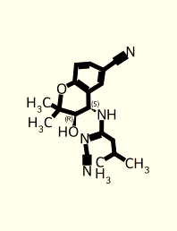 CC(C)CC(=NC#N)N[C@H]1c2cc(C#N)ccc2OC(C)(C)[C@@H]1O